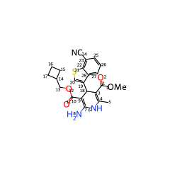 COC(=O)C1=C(C)NC(N)=C(C(=O)OCC2CCC2)C1c1csc2c(C#N)cccc12